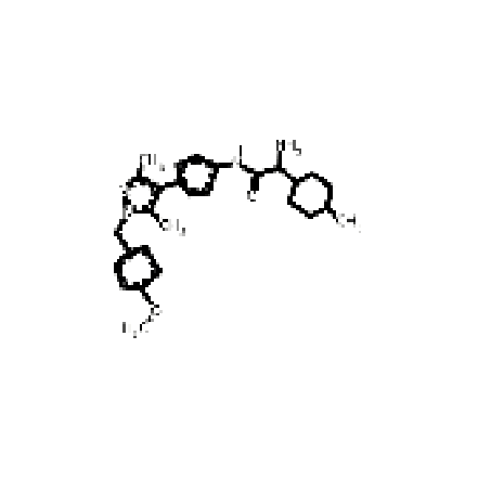 COc1ccc(Cn2nc(C)c(-c3ccc(NC(=O)C(N)C4CCC(C)CC4)cc3)c2C)cc1